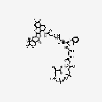 CCCCCCC(=O)N(CC)CCN(CC)CC(C)(C)CCOC(C)(C)CCC(=O)NCC(=O)NCC(=O)N[C@@H](Cc1ccccc1)C(=O)NCC(=O)NCOCC(=O)N[C@H]1CCc2c(C)c(F)cc3nc4c(c1c23)Cn1c-4cc2c(c1=O)COC(=O)[C@]2(O)CC